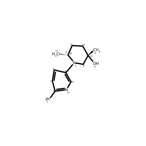 CC(C)c1ccc(N2C[C@@](C)(O)CC[C@H]2C)cn1